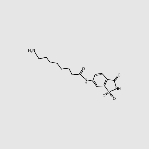 NCCCCCCCC(=O)Nc1ccc2c(c1)S(=O)(=O)NC2=O